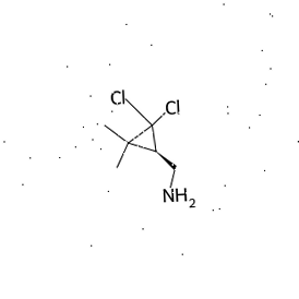 CC1(C)[C@H](CN)C1(Cl)Cl